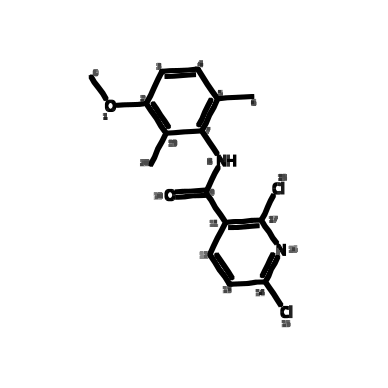 COc1ccc(C)c(NC(=O)c2ccc(Cl)nc2Cl)c1C